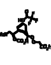 CNCC(=O)c1cccc2c1C2(OOCC(=O)O)C(=O)O.O=C(O)C(F)(F)F